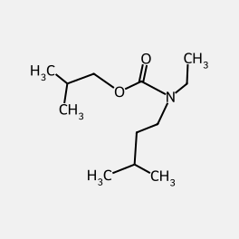 CCN(CCC(C)C)C(=O)OCC(C)C